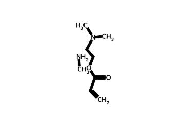 C=CC(=O)OCCN(C)C.CN